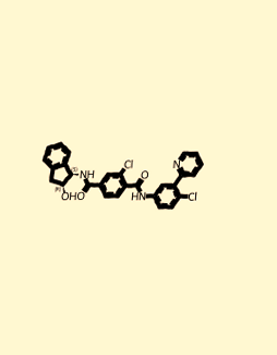 O=C(N[C@H]1c2ccccc2C[C@H]1O)c1ccc(C(=O)Nc2ccc(Cl)c(-c3ccccn3)c2)c(Cl)c1